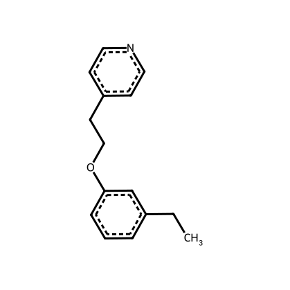 CCc1cccc(OCCc2ccncc2)c1